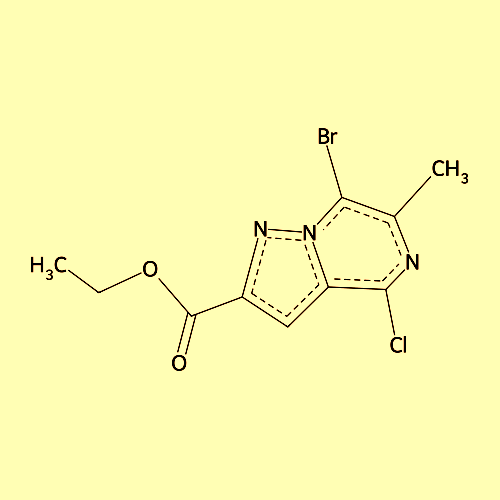 CCOC(=O)c1cc2c(Cl)nc(C)c(Br)n2n1